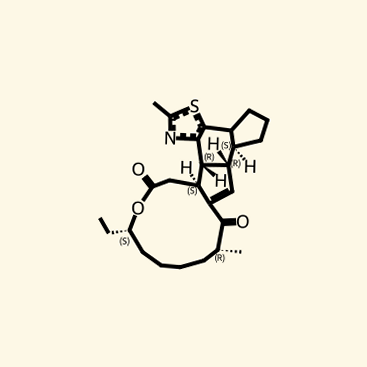 CC[C@H]1CCCC[C@@H](C)C(=O)C2=C[C@@H]3[C@@H](c4nc(C)sc4C4CCC[C@H]43)[C@@H]2CC(=O)O1